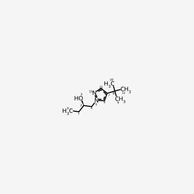 CC[C@@H](O)Cn1cc(C(C)(C)C)cn1